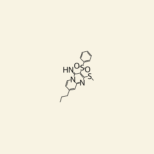 CCCc1ccn2c(=N)c(S(=O)(=O)c3ccccc3)c(SC)nc2c1